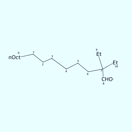 CCCCCCCCCCCCCCC([C]=O)(CC)CC